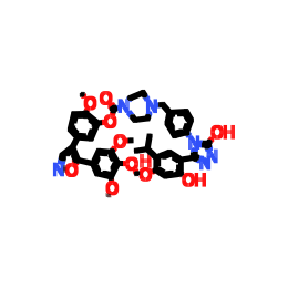 COc1ccc(-c2cnoc2-c2cc(OC)c(OC)c(OC)c2)cc1OC(=O)N1CCN(Cc2ccc(-n3c(O)nnc3-c3cc(C(C)C)c(O)cc3O)cc2)CC1